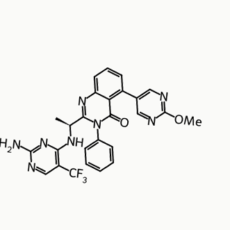 COc1ncc(-c2cccc3nc([C@H](C)Nc4nc(N)ncc4C(F)(F)F)n(-c4ccccc4)c(=O)c23)cn1